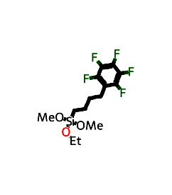 CCO[Si](CCCCc1c(F)c(F)c(F)c(F)c1F)(OC)OC